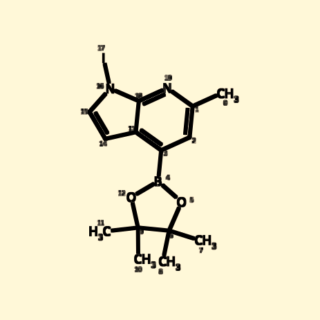 Cc1cc(B2OC(C)(C)C(C)(C)O2)c2ccn(I)c2n1